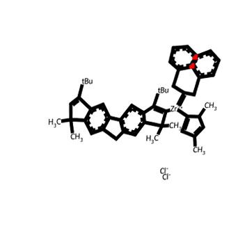 CC1=CC(C)[C]([Zr+2]([C]2=C(C(C)(C)C)c3cc4c(cc3C2(C)C)Cc2cc3c(cc2-4)C(C(C)(C)C)=CC3(C)C)=[C](Cc2ccccc2)Cc2ccccc2)=C1.[Cl-].[Cl-]